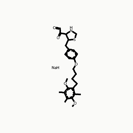 COc1c(C)c(C)c(OC)c(CCCCOc2ccc(CC3SCNC3C(=O)C=O)cc2)c1C.[NaH]